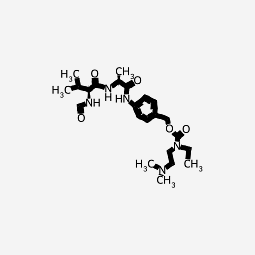 CCN(CCN(C)C)C(=O)OCc1ccc(NC(=O)[C@H](C)NC(=O)[C@@H](NC=O)C(C)C)cc1